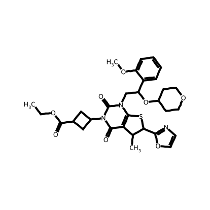 CCOC(=O)C1CC(n2c(=O)c3c(n(CC(OC4CCOCC4)c4ccccc4OC)c2=O)SC(c2ncco2)C3C)C1